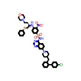 O=[N+]([O-])c1cc(S(=O)(=O)Nc2ncnc3cc(N4CCC(Cc5ccccc5-c5ccc(Cl)cc5)CC4)ccc23)ccc1N[C@H](CCN1CCOCC1)CSc1ccccc1